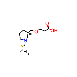 CSCN1CCC[C@@H](COCCC(=O)O)C1